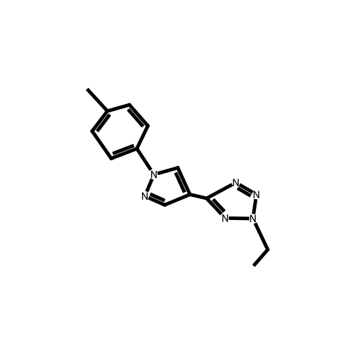 CCn1nnc(-c2cnn(-c3ccc(C)cc3)c2)n1